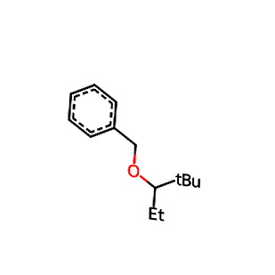 CCC(OCc1ccccc1)C(C)(C)C